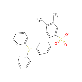 O=S(=O)([O-])c1ccc(C(F)(F)F)c(C(F)(F)F)c1.c1ccc([S+](c2ccccc2)c2ccccc2)cc1